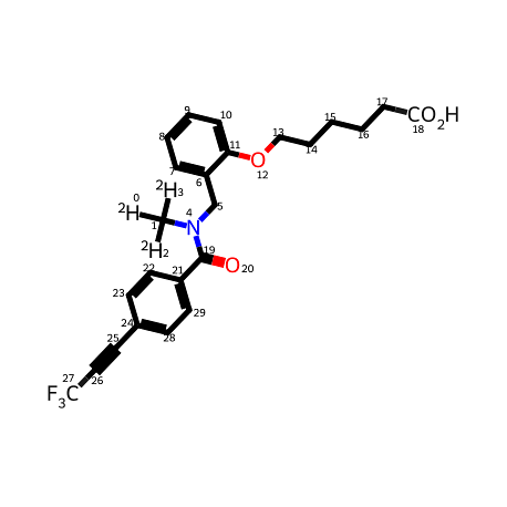 [2H]C([2H])([2H])N(Cc1ccccc1OCCCCCC(=O)O)C(=O)c1ccc(C#CC(F)(F)F)cc1